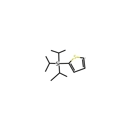 CC(C)[Si](c1cc[c]s1)(C(C)C)C(C)C